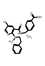 C[C@H](NC(=O)c1cc(Cl)cnc1N(C)CCc1ccccc1)c1ccc(C(=O)O)cc1